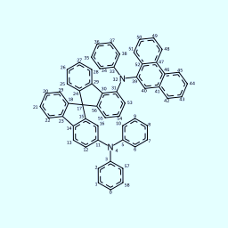 c1ccc(N(c2ccccc2)c2ccc3c(c2)C2(c4ccccc4-3)c3ccccc3-c3c(N(c4ccccc4)c4cc5ccccc5c5ccccc45)cccc32)cc1